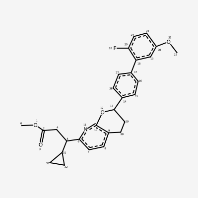 COC(=O)CC(c1ccc2c(n1)OC(c1ccc(-c3cc(OC)ccc3F)cc1)CC2)C1CC1